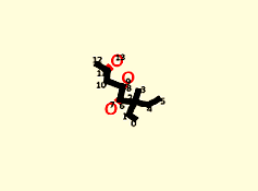 CCC(C)(CC)C(=O)C(=O)CC(C)=O